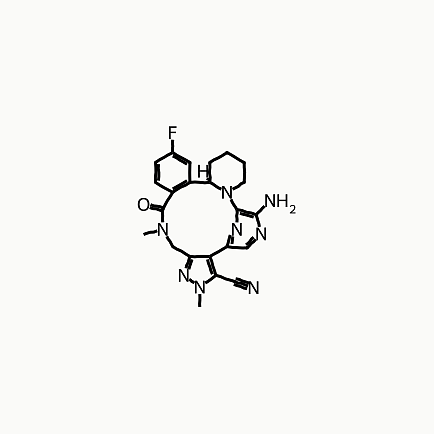 CN1Cc2nn(C)c(C#N)c2-c2cnc(N)c(n2)N2CCCC[C@@H]2c2cc(F)ccc2C1=O